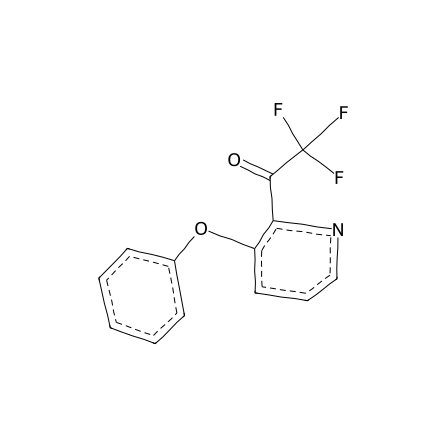 O=C(c1ncccc1Oc1ccccc1)C(F)(F)F